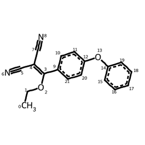 CCOC(=C(C#N)C#N)c1ccc(Oc2ccccc2)cc1